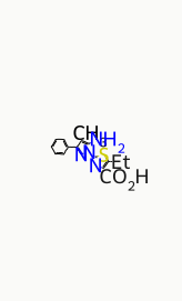 CCc1sc(-n2nc(-c3ccccc3)c(C)c2N)nc1C(=O)O